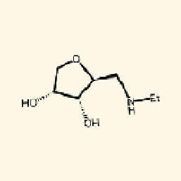 CCNC[C@@H]1OC[C@@H](O)[C@H]1O